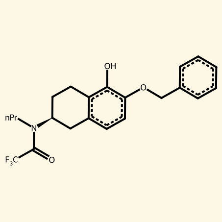 CCCN(C(=O)C(F)(F)F)[C@H]1CCc2c(ccc(OCc3ccccc3)c2O)C1